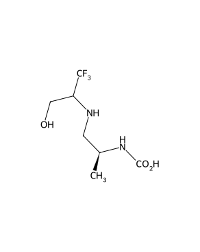 C[C@@H](CNC(CO)C(F)(F)F)NC(=O)O